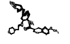 COc1ccc2c(c1)CC(C(=O)Nc1ccc(-c3cn[nH]c3)cc1OCCN1CCOCC1)CO2